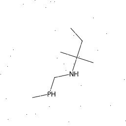 CCC(C)(C)NCPC